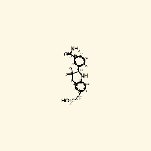 CC1(C)Cc2cc(OC(=O)O)ccc2NC1c1cccc(C(N)=O)c1